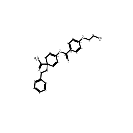 NC(=O)[C@@]1(CCc2ccccc2)C=CC(OC(=O)c2ccc(OCCO)cc2)=CC1